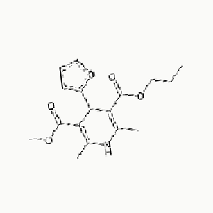 CCCOC(=O)C1=C(C)NC(C)=C(C(=O)OC)C1c1ccco1